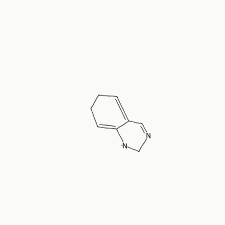 C1=NC[N]C2=CCCC=C12